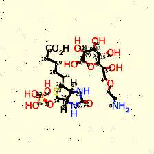 NCCOCC(O)[C@H]1O[C@@H](O)[C@@H](O)[C@@H](O)[C@@H]1O.O=C(O)CCCC[C@@H]1SC[C@@H]2NC(=O)N[C@@H]21.O=P(O)(O)O